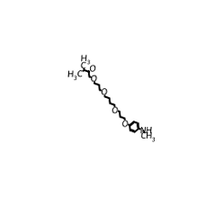 CNc1ccc(OCCCOCCCCOCCCOCC(=O)C(C)C)cc1